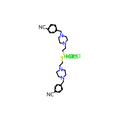 Cl.Cl.Cl.Cl.N#Cc1ccc(CN2CCN(CCSSCCN3CCN(Cc4ccc(C#N)cc4)CC3)CC2)cc1